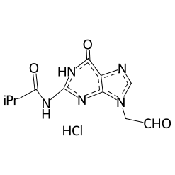 CC(C)C(=O)Nc1nc2c(ncn2CC=O)c(=O)[nH]1.Cl